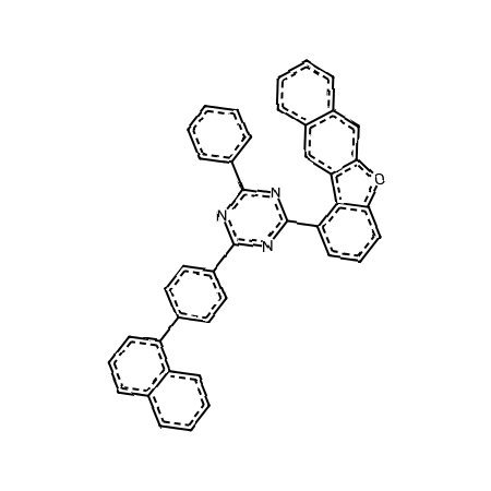 c1ccc(-c2nc(-c3ccc(-c4cccc5ccccc45)cc3)nc(-c3cccc4oc5cc6ccccc6cc5c34)n2)cc1